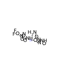 NCCOc1cc(/C=C/CNC(=O)c2cncn(Cc3ccc(F)c(F)c3)c2=O)cc2cnc(Nc3ccccc3)nc12